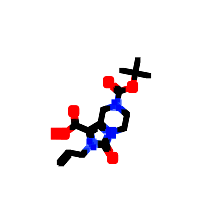 C=CCn1c(C(=O)O)c2n(c1=O)CCN(C(=O)OC(C)(C)C)C2